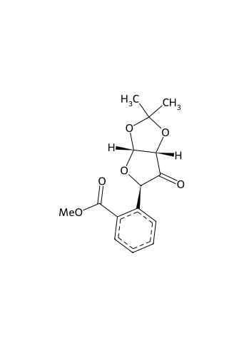 COC(=O)c1ccccc1[C@H]1O[C@@H]2OC(C)(C)O[C@@H]2C1=O